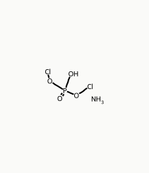 N.O=P(O)(OCl)OCl